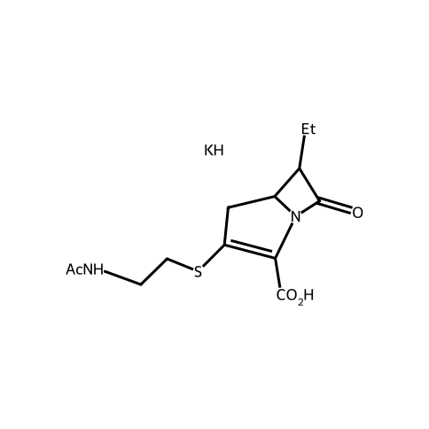 CCC1C(=O)N2C(C(=O)O)=C(SCCNC(C)=O)CC12.[KH]